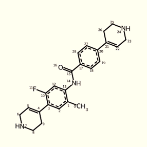 Cc1cc(C2=CCNCC2)c(F)cc1NC(=O)c1ccc(C2=CCNCC2)cc1